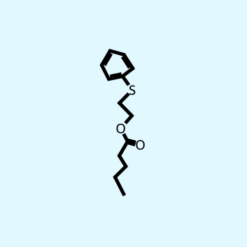 CCCCC(=O)OCCSc1ccccc1